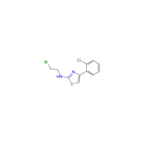 Clc1ccccc1-c1csc(NCCBr)n1